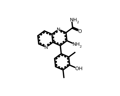 Cc1ccc(-c2c(N)c(C(N)=O)nc3cccnc23)c(C)c1O